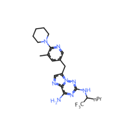 CCCC(Nc1nc(N)c2ncc(Cc3cnc(N4CCCCC4)c(C)c3)n2n1)C(F)(F)F